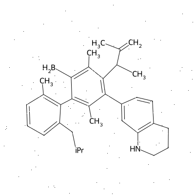 Bc1c(C)c(C(C)C(=C)C)c(-c2ccc3c(c2)NCCC3)c(C)c1-c1c(C)cccc1CC(C)C